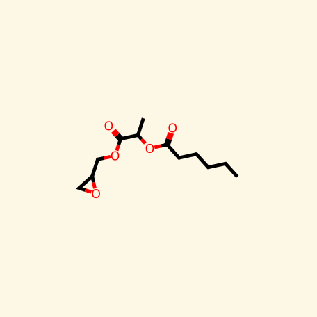 CCCCCC(=O)OC(C)C(=O)OCC1CO1